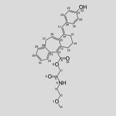 COCCNC(=O)COC(=O)C1=C2CCC/C(=C\c3ccc(O)cc3)C2=CCc2ccccc21